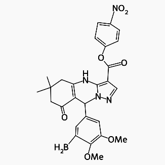 Bc1cc(C2C3=C(CC(C)(C)CC3=O)Nc3c(C(=O)Oc4ccc([N+](=O)[O-])cc4)cnn32)cc(OC)c1OC